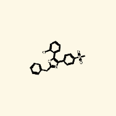 CS(=O)(=O)c1ccc(-c2nc(Cc3ccccc3)oc2-c2ccccc2Cl)cc1